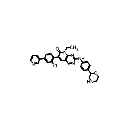 CCn1c(=O)c(-c2ccc(-c3cccnc3)cc2Cl)cc2cnc(Nc3ccc(C4CNCCO4)cc3)nc21